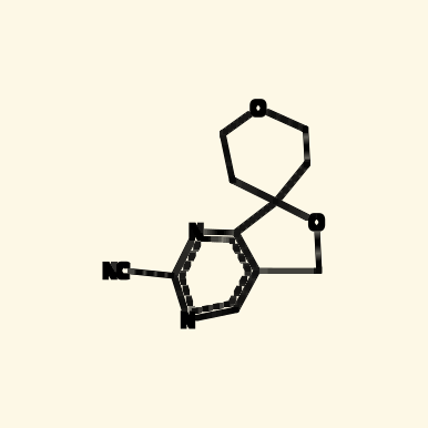 N#Cc1ncc2c(n1)C1(CCOCC1)OC2